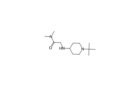 CN(C)C(=O)CNC1CCN(C(C)(C)C)CC1